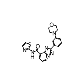 O=C(Nc1nccs1)c1cccn2nc(-c3cccc(N4CCOCC4)c3)nc12